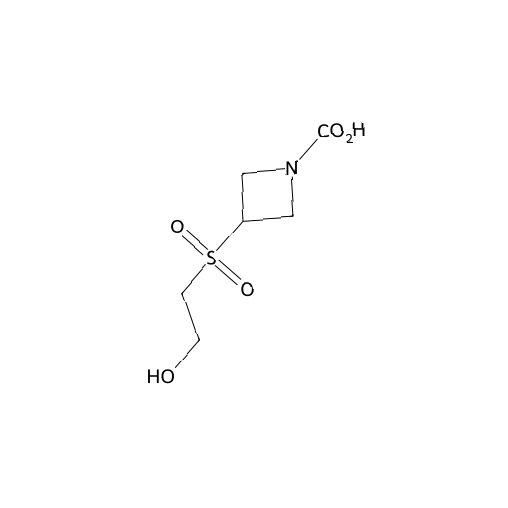 O=C(O)N1CC(S(=O)(=O)CCO)C1